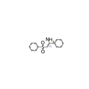 N/C(=C\S(=O)(=O)c1ccccc1)c1ccccc1